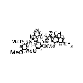 COc1ccc(CN(Cc2ccc(OC)cc2OC)c2nc3cncc(N4CCO[C@@H](C(=O)N5CCc6cc(C(F)(F)F)ccc6C5C)C4)c3o2)c(OC)c1